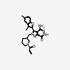 C=CC(=O)N1CCCC(Cn2nc3c(=O)[nH]nc(N)c3c2-c2oc3ccc(C)cc3c2C)C1